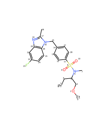 CCOCC(CC(C)C)N(C)S(=O)(=O)c1ccc(Cn2c(C)nc3cc(F)ccc32)cc1